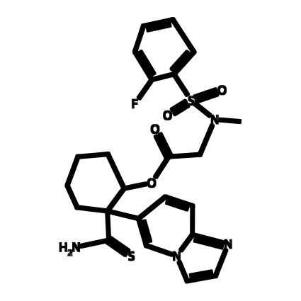 CN(CC(=O)OC1CCCCC1(C(N)=S)c1ccc2nccn2c1)S(=O)(=O)c1ccccc1F